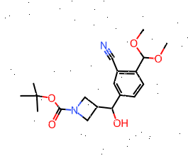 COC(OC)c1ccc(C(O)C2CN(C(=O)OC(C)(C)C)C2)cc1C#N